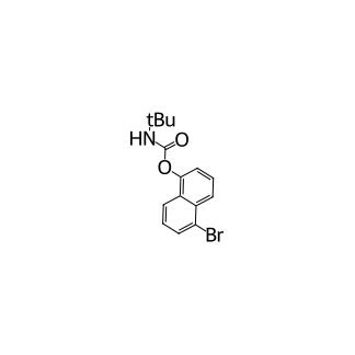 CC(C)(C)NC(=O)Oc1cccc2c(Br)cccc12